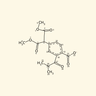 COC(=O)C(C(=O)OC)c1ccc([N+](=O)[O-])c(C(=O)N(C)C)c1